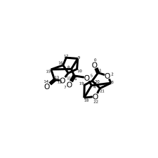 O=C1OC2C(OC(=O)C3C4CC5OC(=O)C3C5C4)C3CC1C2O3